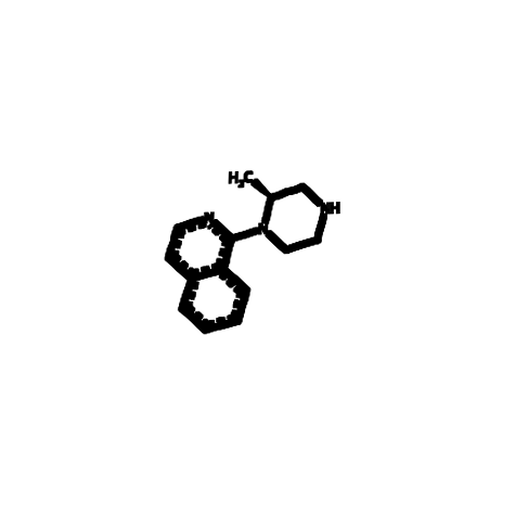 C[C@H]1CNCCN1c1nccc2ccccc12